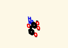 COc1cccc(C(=O)c2cc(OC)c(OC)cc2N)c1